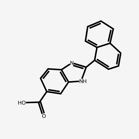 O=C(O)c1ccc2nc(-c3cccc4ccccc34)[nH]c2c1